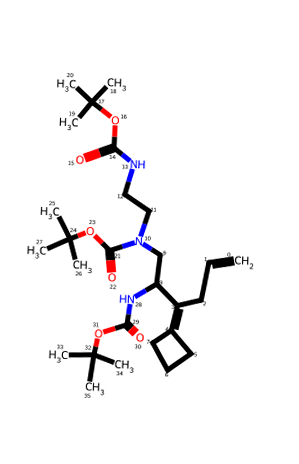 C=CCC(=C1CCC1)C(CN(CCNC(=O)OC(C)(C)C)C(=O)OC(C)(C)C)NC(=O)OC(C)(C)C